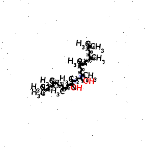 C/C(=C\C/C(CO)=C(/C)CCC[C@H](C)CCC[C@H](C)CCCC(C)C)C(O)CC[C@H](C)CCC[C@H](C)CCCC(C)C